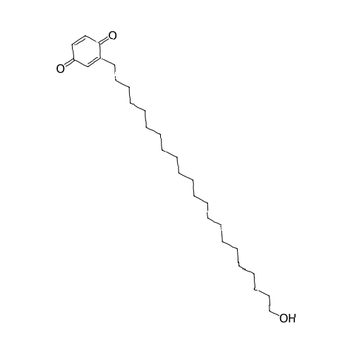 O=C1C=CC(=O)C(CCCCCCCCCCCCCCCCCCCCCCO)=C1